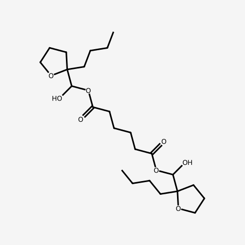 CCCCC1(C(O)OC(=O)CCCCC(=O)OC(O)C2(CCCC)CCCO2)CCCO1